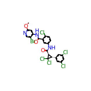 COc1cc(NC(=O)c2cc(NC(=O)[C@H]3[C@H](c4cc(Cl)cc(Cl)c4)C3(Cl)Cl)ccc2Cl)c(Br)cn1